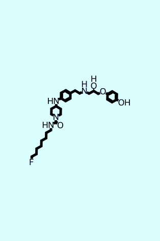 O=C(NCCCCCCCCF)N1CCC(Nc2ccc(CCNC[C@H](O)COc3ccc(O)cc3)cc2)CC1